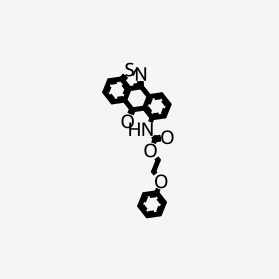 O=C(Nc1cccc2c1C(=O)c1cccc3snc-2c13)OCCOc1ccccc1